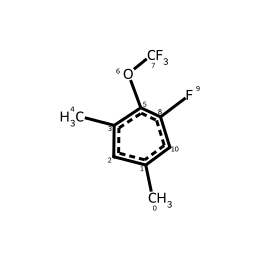 Cc1cc(C)c(OC(F)(F)F)c(F)c1